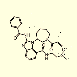 C=CC(=O)N1CCCCC(n2c(NC(=O)c3ccccc3)nc3cccc(C(=O)NCC[S+](C)[O-])c32)C1